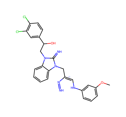 COc1cccc(N/C=C(/Cn2c(=N)n(CC(O)c3ccc(Cl)c(Cl)c3)c3ccccc32)N=N)c1